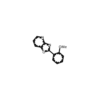 COc1ccccc1-c1nc2ncccc2o1